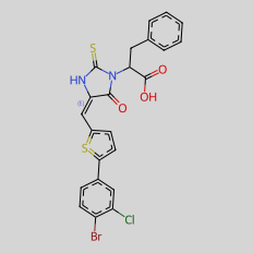 O=C(O)C(Cc1ccccc1)N1C(=O)/C(=C\c2ccc(-c3ccc(Br)c(Cl)c3)s2)NC1=S